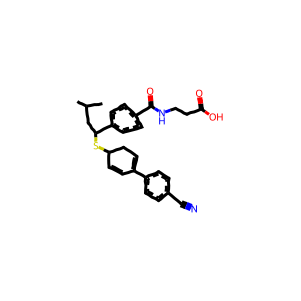 CC(C)CC(SC1C=CC(c2ccc(C#N)cc2)=CC1)c1ccc(C(=O)NCCC(=O)O)cc1